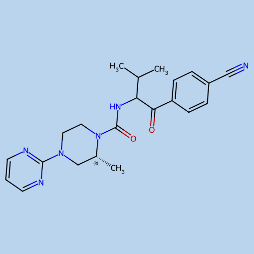 CC(C)C(NC(=O)N1CCN(c2ncccn2)C[C@H]1C)C(=O)c1ccc(C#N)cc1